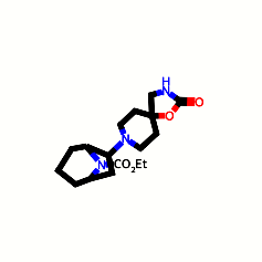 CCOC(=O)N1C2CCCC1C(N1CCC3(CC1)CNC(=O)O3)C2